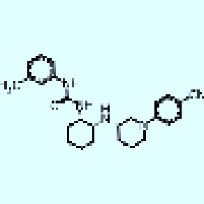 Cc1cccc(NC(=O)N[C@@H]2CCCC[C@H]2N[C@H]2CCCN(c3ccc(C#N)cc3)C2)c1